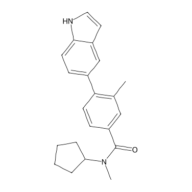 Cc1cc(C(=O)N(C)C2CCCC2)ccc1-c1ccc2[nH]ccc2c1